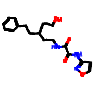 O=C(NCCC(CCO)CCc1ccccc1)C(=O)Nc1ccon1